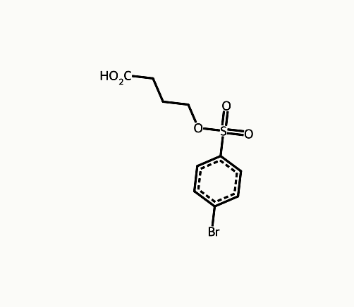 O=C(O)CCCOS(=O)(=O)c1ccc(Br)cc1